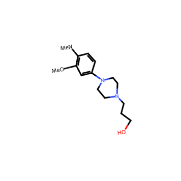 CNc1ccc(N2CCN(CCCO)CC2)cc1OC